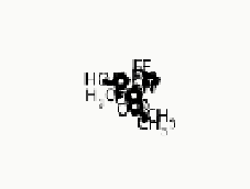 CC(C)c1cc(=O)c2c(OC(C)c3ccccc3CO)cc(Oc3ncccc3C(F)(F)F)cc2o1